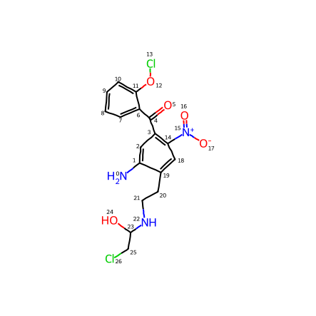 Nc1cc(C(=O)c2ccccc2OCl)c([N+](=O)[O-])cc1CCNC(O)CCl